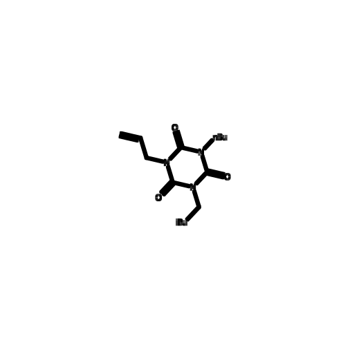 C=CCn1c(=O)n(CCCC)c(=O)n(CC(C)CC)c1=O